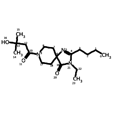 CCCCC1=NC2(CCN(C(=O)CC(C)(C)O)CC2)C(=O)N1CC